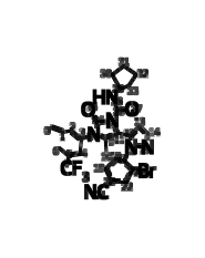 C=C/C=C(\C=C(/C)C(F)(F)F)n1c(C)c(-c2ccnn2-c2ccc(C#N)cc2Br)n(C(=O)NC2CCCC2)c1=O